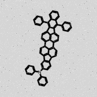 C1=CC2C3=C(C=CC4C3=C1c1cc(N(c3ccccc3)c3ccccc3)ccc14)c1ccc3c4c(ccc2c14)-c1c-3c(-c2ccccc2)c2ccccc2c1-c1ccccc1